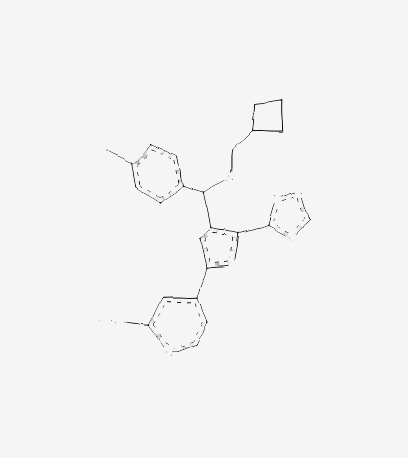 CC(=O)Nc1cc(-c2cc(C(NCC3CCC3)c3ccc(Cl)cc3)c(-c3nnc[nH]3)s2)ccn1